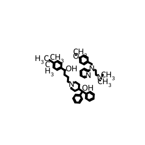 CC(C)(C)c1ccc(C(O)CCCN2CCC(C(O)(c3ccccc3)c3ccccc3)CC2)cc1.COc1ccc(CN(CCN(C)C)c2ccccn2)cc1